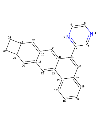 [c]1c(-c2cnccn2)c2cc3c(cc2c2ccccc12)=CC1CCC1C=3